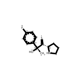 C[C@](O)(C(=S)[C@@H]1CCCN1)c1ccc(F)cc1